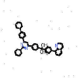 CC(C)(c1ccc(-c2cc(-c3ccc(-c4ccccc4)cc3)nc(-c3ccccc3)n2)cc1)c1ccc(-c2cccc3cccnc23)cc1